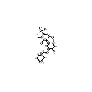 Cn1c(C(F)(F)F)cc(=O)n(-c2cc(OCc3cccc(F)c3)c(Cl)cc2F)c1=O